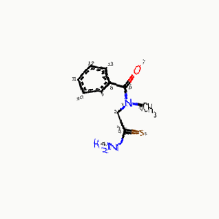 CN(CC(N)=S)C(=O)c1ccccc1